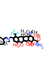 CCN(Cc1cc(O)c2c(c1C(F)(F)F)C[C@H]1C[C@H]3[C@H](N(C)C)C(O)=C(C(N)=O)C(=O)[C@@]3(O)C(O)=C1C2=O)CC1CCCCCC1